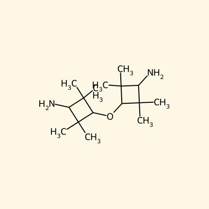 CC1(C)C(N)C(C)(C)C1OC1C(C)(C)C(N)C1(C)C